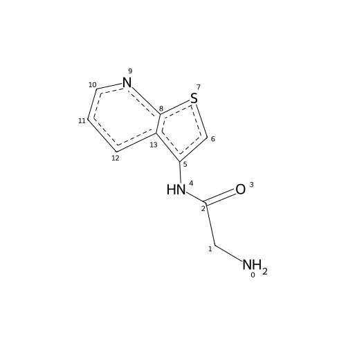 NCC(=O)Nc1csc2ncccc12